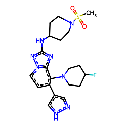 CS(=O)(=O)N1CCC(Nc2nc3c(N4CCC(F)CC4)c(-c4cn[nH]c4)ccn3n2)CC1